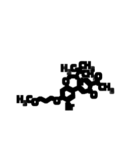 COCCCOc1cc2c(cc1Br)-c1cc(=O)c(C(C)=O)cn1[C@H](C(C)(C)C)CO2